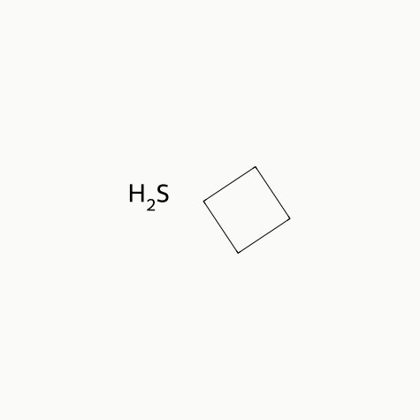 C1CCC1.S